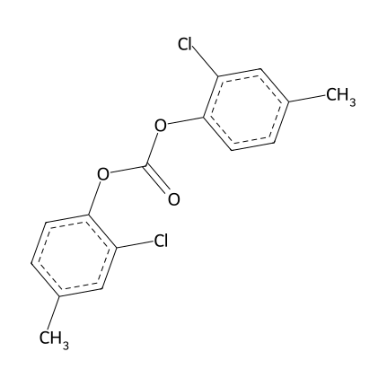 Cc1ccc(OC(=O)Oc2ccc(C)cc2Cl)c(Cl)c1